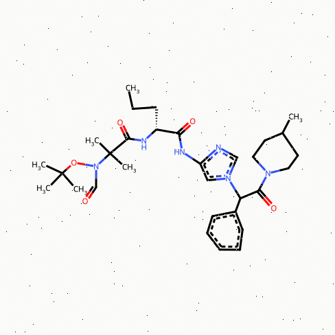 CCC[C@@H](NC(=O)C(C)(C)N(C=O)OC(C)(C)C)C(=O)Nc1cn(C(C(=O)N2CCC(C)CC2)c2ccccc2)cn1